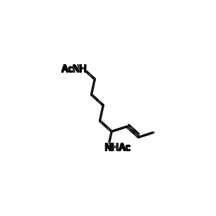 CC=CC(CCCCNC(C)=O)NC(C)=O